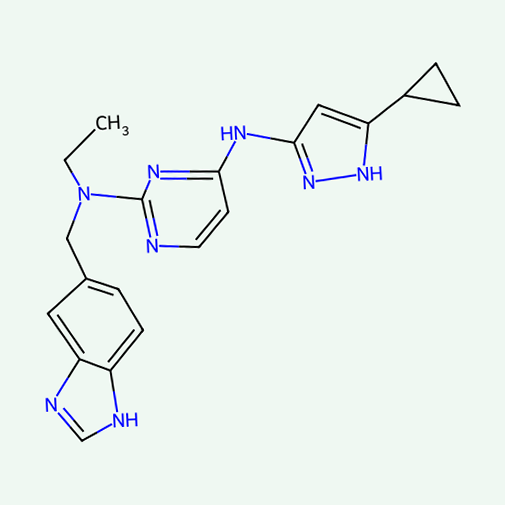 CCN(Cc1ccc2[nH]cnc2c1)c1nccc(Nc2cc(C3CC3)[nH]n2)n1